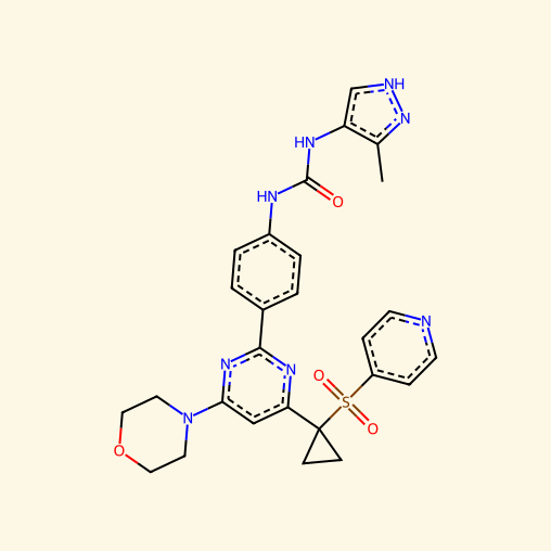 Cc1n[nH]cc1NC(=O)Nc1ccc(-c2nc(N3CCOCC3)cc(C3(S(=O)(=O)c4ccncc4)CC3)n2)cc1